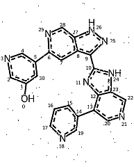 Oc1cncc(-c2cc3c(-c4nc5c(-c6cccnc6)cncc5[nH]4)n[nH]c3cn2)c1